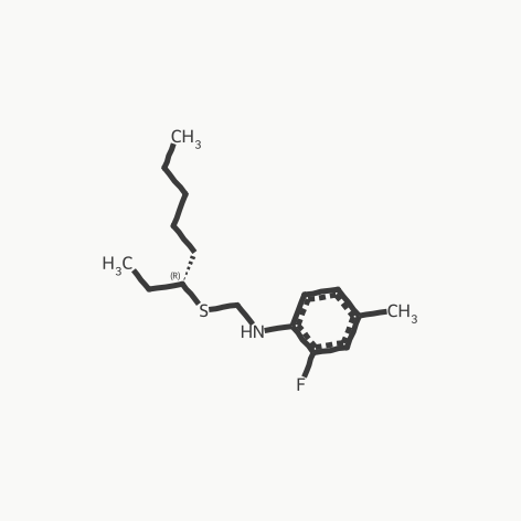 CCCCC[C@@H](CC)SCNc1ccc(C)cc1F